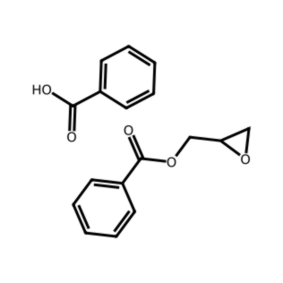 O=C(O)c1ccccc1.O=C(OCC1CO1)c1ccccc1